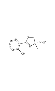 C[C@]1(C(=O)O)CSC(c2ncccc2O)=N1